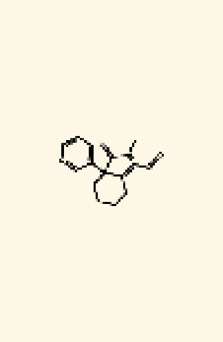 CC(=S)C(=S)C1(c2cccnc2)CCCCC1=CC=O